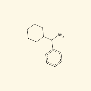 BP(c1ccccc1)C1CCCCC1